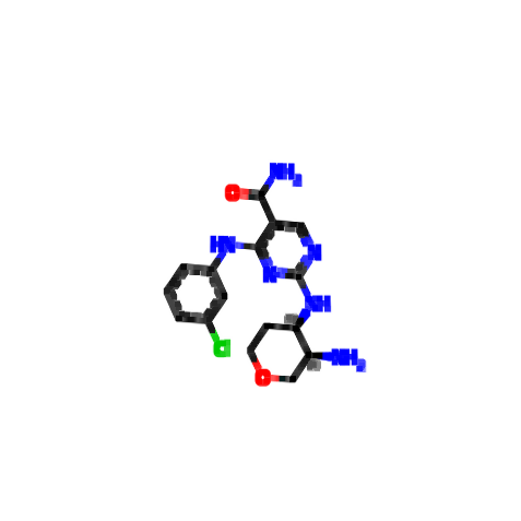 NC(=O)c1cnc(N[C@@H]2CCOC[C@@H]2N)nc1Nc1cccc(Cl)c1